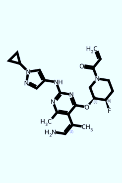 C=CC(=O)N1CC[C@@H](F)[C@@H](Oc2nc(Nc3cnn(C4CC4)c3)nc(C)c2/C(C)=C\N)C1